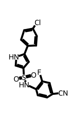 N#Cc1ccc(NS(=O)(=O)c2c[nH]c(-c3ccc(Cl)cc3)c2)c(F)c1